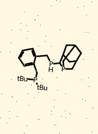 CC(C)(C)P(Cc1ccccc1CPC1C2CC3CC(C2)CP1C3)C(C)(C)C